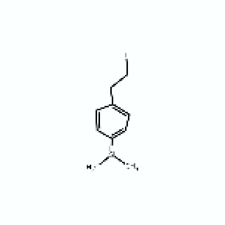 C[SiH](C)c1ccc(CCI)cc1